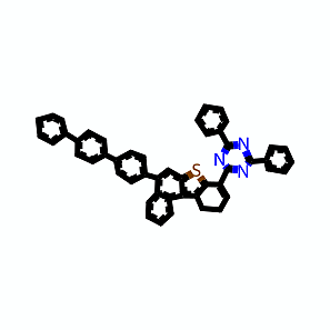 C1=C(c2nc(-c3ccccc3)nc(-c3ccccc3)n2)c2sc3cc(-c4ccc(-c5ccc(-c6ccccc6)cc5)cc4)c4ccccc4c3c2CC1